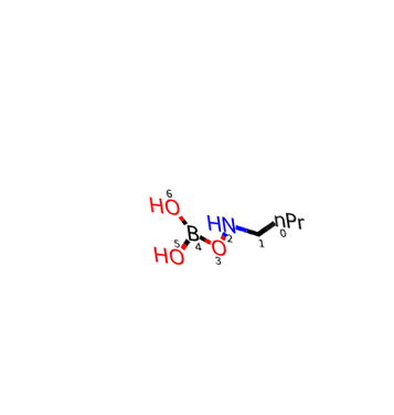 CCCCNOB(O)O